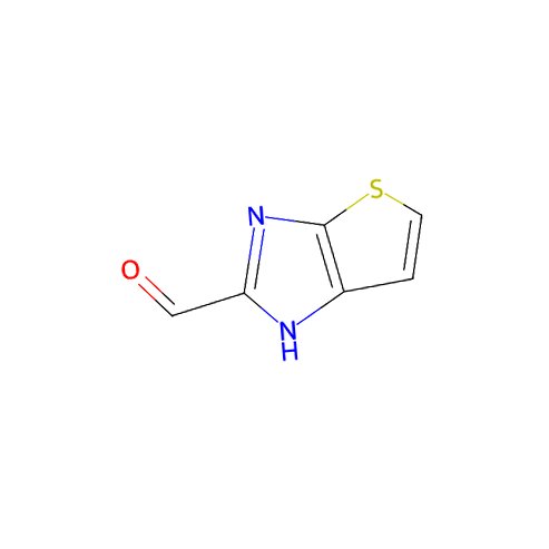 O=Cc1nc2sccc2[nH]1